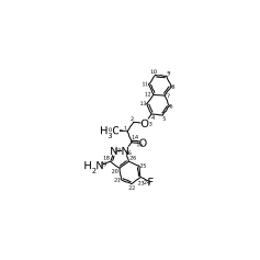 C[C@@H](COc1ccc2ccccc2c1)C(=O)n1nc(N)c2ccc(F)cc21